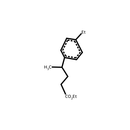 CCOC(=O)CCC(C)c1ccc(CC)cc1